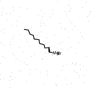 CCCCCCCCCC=[CH][Mg][Br]